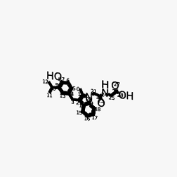 Cc1c(Cc2ccc(O)c(C(C)C)c2)c2ccccc2n1CC(=O)NCC(=O)O